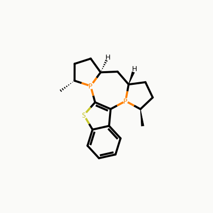 C[C@@H]1CC[C@H]2C[C@@H]3CC[C@@H](C)P3c3c(sc4ccccc34)P21